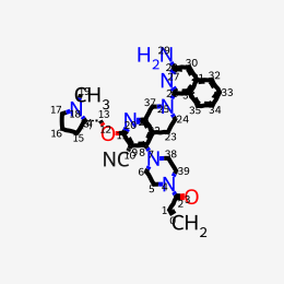 C=CC(=O)N1CCN(c2c(C#N)c(OC[C@@H]3CCCN3C)nc3c2CCN(c2nc(N)cc4ccccc24)C3)CC1